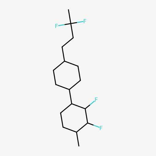 CC1CCC(C2CCC(CCC(C)(F)F)CC2)C(F)C1F